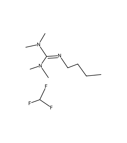 CCCCN=C(N(C)C)N(C)C.FC(F)F